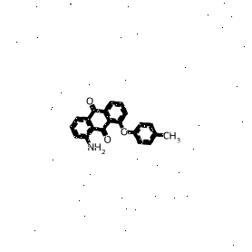 Cc1ccc(Oc2cccc3c2C(=O)c2c(N)cccc2C3=O)cc1